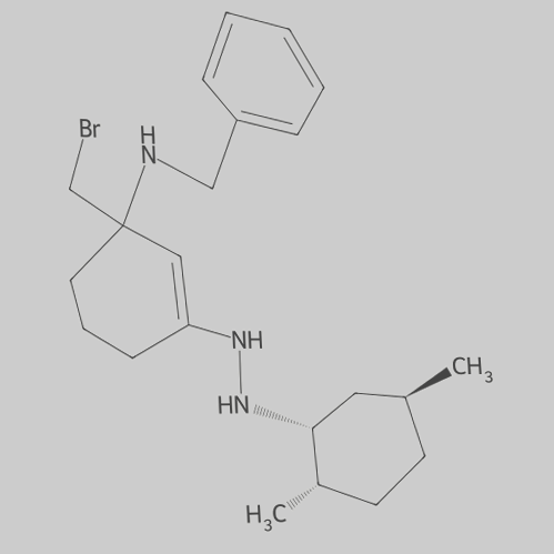 C[C@H]1CC[C@H](C)[C@H](NNC2=CC(CBr)(NCc3ccccc3)CCC2)C1